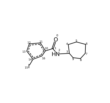 O=C(NC1CCCCCC1)c1cccc(I)c1